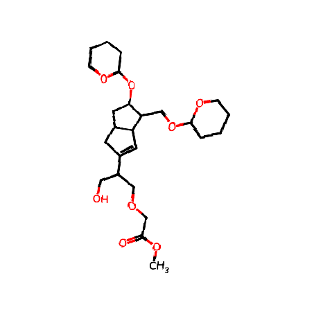 COC(=O)COCC(CO)C1=CC2C(C1)CC(OC1CCCCO1)C2COC1CCCCO1